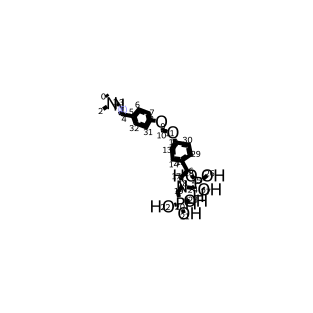 CN(C)/N=C/c1ccc(OCOc2ccc(CCN(C[PH](O)(O)O)C[PH](O)(O)O)cc2)cc1